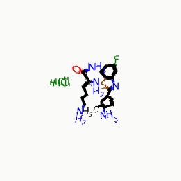 Cc1cc(-c2nc3cc(F)ccc3s2)ccc1N.Cl.Cl.NCCCC[C@H](N)C(N)=O